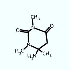 CN1C(=O)CC(C)(N)N(C)C1=O